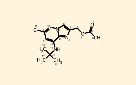 CC(=O)OCc1cn2nc(Cl)cc(NC(C)(C)C)c2n1